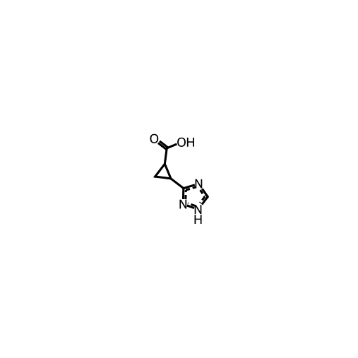 O=C(O)C1CC1c1nc[nH]n1